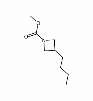 CCCCC1CN(C(=O)OC)C1